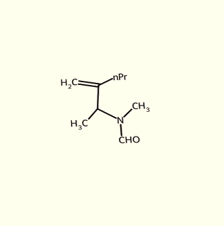 C=C(CCC)C(C)N(C)C=O